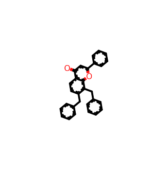 O=c1cc(-c2ccccc2)oc2c(Cc3ccccc3)c(Cc3ccccc3)ccc12